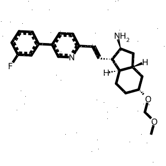 COCO[C@@H]1CC[C@@H]2[C@@H](C1)C[C@H](N)[C@H]2C=Cc1ccc(-c2cccc(F)c2)cn1